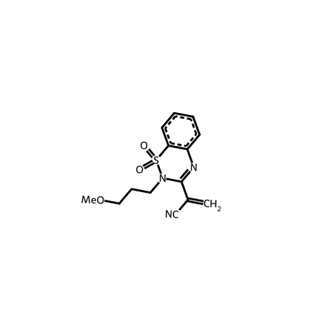 C=C(C#N)C1=Nc2ccccc2S(=O)(=O)N1CCCOC